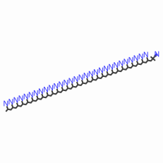 CC(C#N)CC(C#N)CC(C#N)CC(C#N)CC(C#N)CC(C#N)CC(C#N)CC(C#N)CC(C#N)CC(C#N)CC(C#N)CC(C#N)CC(C#N)CC(C#N)CC(C#N)CC(C#N)CC(C#N)CC(C#N)CC(C#N)CC(C#N)CC(C#N)CC(C#N)CC(C#N)CC(C#N)CC(C#N)CC(C#N)CC(C#N)CC(C#N)CC(C#N)CC(C)(C)C#N